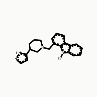 CCn1c2ccccc2c2cccc(CN3CCCC(c4ccn[nH]4)C3)c21